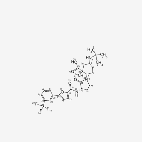 CC(C)(C)NC1CCC(N2CC[C@H](NC(=O)c3ccc(-c4cccc(C(F)(F)F)c4)o3)C2=O)C(C)(C(=O)O)C1